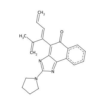 C=C/C=C(\C(=C)C)C1=C2N=C(N3CCCC3)N=C2c2ccccc2C1=O